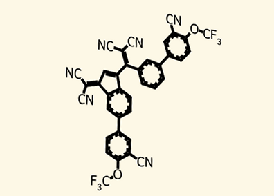 N#CC(C#N)=C(C1=CC(=C(C#N)C#N)c2cc(-c3ccc(OC(F)(F)F)c(C#N)c3)ccc21)c1cccc(-c2ccc(OC(F)(F)F)c(C#N)c2)c1